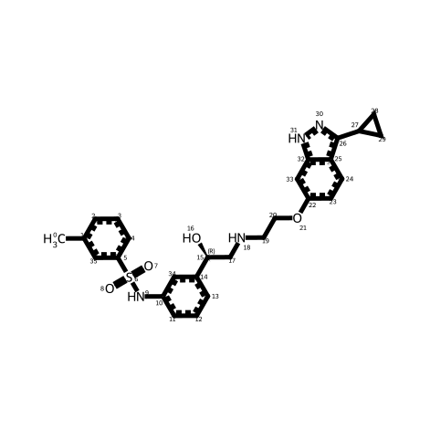 Cc1cccc(S(=O)(=O)Nc2cccc([C@@H](O)CNCCOc3ccc4c(C5CC5)n[nH]c4c3)c2)c1